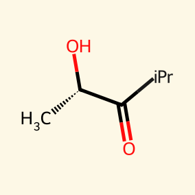 CC(C)C(=O)[C@H](C)O